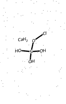 O[Si](O)(O)OCl.[CaH2]